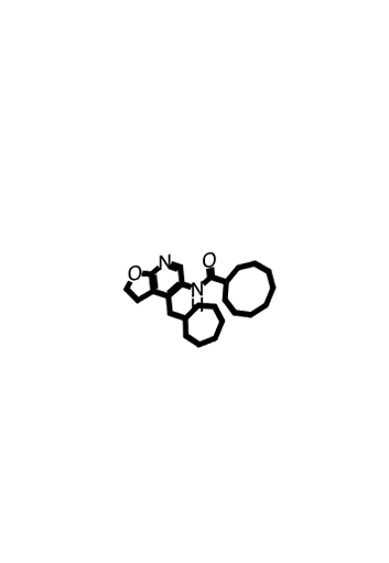 O=C(Nc1cnc2c(c1CC1CCCCCC1)CCO2)C1CCCCCCCC1